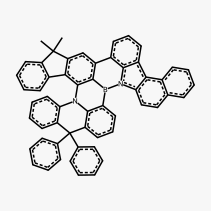 CC1(C)c2ccccc2-c2c1cc1c3c2N2c4ccccc4C(c4ccccc4)(c4ccccc4)c4cccc(c42)B3n2c3ccc4ccccc4c3c3cccc-1c32